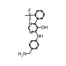 CC(F)(F)c1ccccc1-c1ncnc(Nc2ccc(CN)cc2)c1O